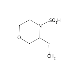 C=CC1COCCN1S(=O)(=O)O